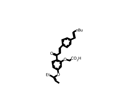 C/C=C(/CC)Oc1ccc(C(=O)/C=C/c2ccc(/C=C/CCCC)cc2)c(OCC(=O)O)c1